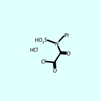 CC(C)N(C(=O)C(=O)Cl)S(=O)(=O)O.Cl